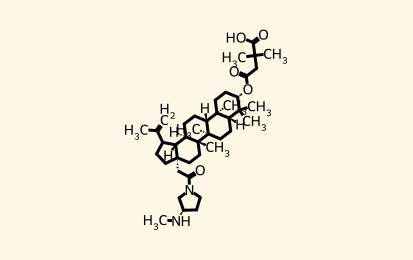 C=C(C)C1CC[C@]2(CC(=O)N3CC[C@H](NC)C3)CC[C@]3(C)[C@H](CC[C@@H]4[C@@]5(C)CC[C@H](OC(=O)CC(C)(C)C(=O)O)C(C)(C)[C@@H]5CC[C@]43C)[C@@H]12